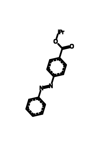 CC(C)OC(=O)c1ccc(N=Nc2ccccc2)cc1